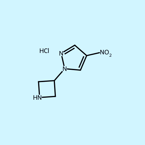 Cl.O=[N+]([O-])c1cnn(C2CNC2)c1